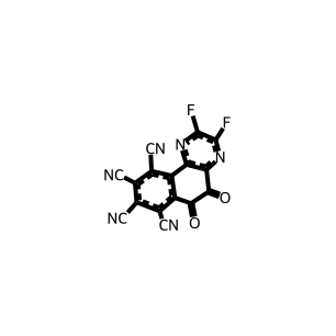 N#Cc1c(C#N)c(C#N)c2c(c1C#N)C(=O)C(=O)c1nc(F)c(F)nc1-2